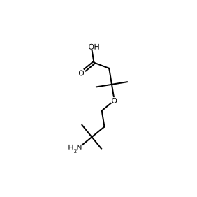 CC(C)(N)CCOC(C)(C)CC(=O)O